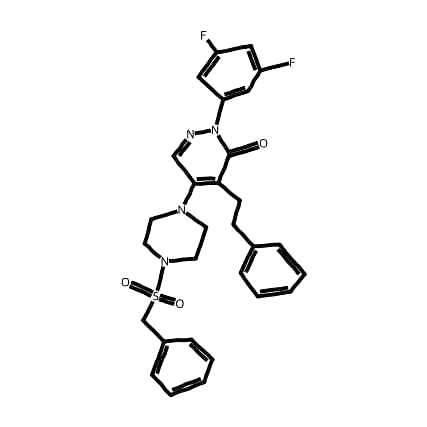 O=c1c(CCc2ccccc2)c(N2CCN(S(=O)(=O)Cc3ccccc3)CC2)cnn1-c1cc(F)cc(F)c1